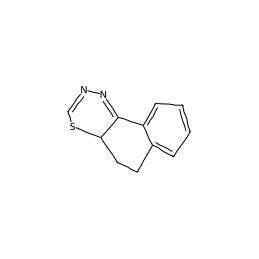 C1=NN=C2c3ccccc3CCC2S1